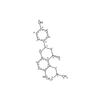 CN(C)Cc1c(O)ccc2c1C(=O)CC(c1ccc(O)cc1)O2